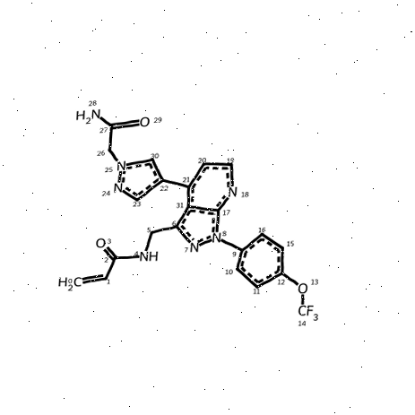 C=CC(=O)NCc1nn(-c2ccc(OC(F)(F)F)cc2)c2nccc(-c3cnn(CC(N)=O)c3)c12